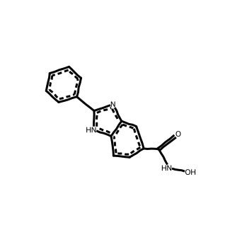 O=C(NO)c1ccc2[nH]c(-c3ccccc3)nc2c1